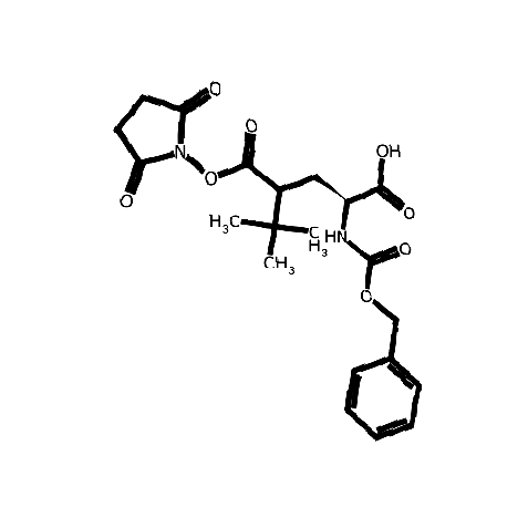 CC(C)(C)C(C[C@H](NC(=O)OCc1ccccc1)C(=O)O)C(=O)ON1C(=O)CCC1=O